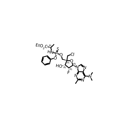 CCOC(=O)[C@@H](C)NP(=S)(OC[C@@]1(CCl)O[C@@H](n2cnc3c(N(C)C)nc(C)nc32)[C@H](F)[C@@H]1O)Oc1ccccc1